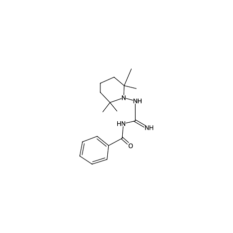 CC1(C)CCCC(C)(C)N1NC(=N)NC(=O)c1ccccc1